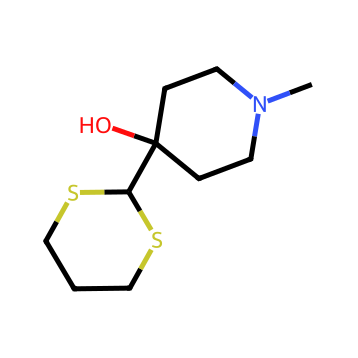 CN1CCC(O)(C2SCCCS2)CC1